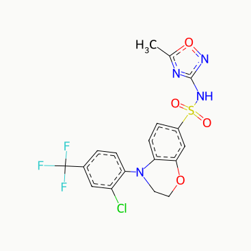 Cc1nc(NS(=O)(=O)c2ccc3c(c2)OCCN3c2ccc(C(F)(F)F)cc2Cl)no1